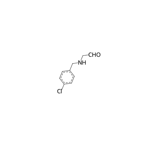 O=CCNCc1ccc(Cl)cc1